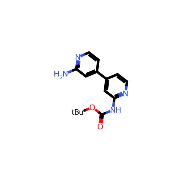 CC(C)(C)OC(=O)Nc1cc(-c2ccnc(N)c2)ccn1